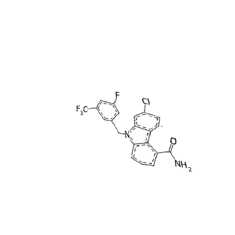 NC(=O)c1cccc2c1c1[c]cc(Cl)cc1n2Cc1cc(F)cc(C(F)(F)F)c1